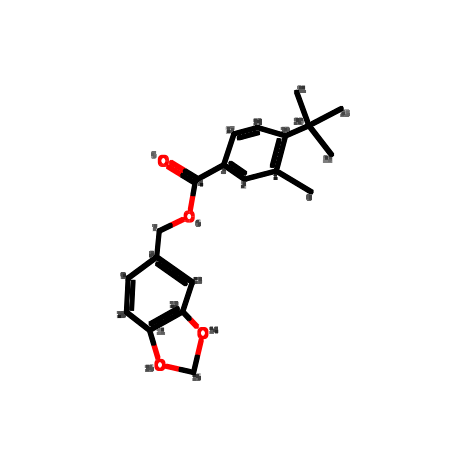 Cc1cc(C(=O)OCc2ccc3c(c2)OCO3)ccc1C(C)(C)C